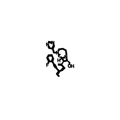 C=C(/C=C\C(C#Cc1ccccc1F)=C/C)[C@@H]1[C@H](CO)N2CCCCN(Cc3cncnc3)C[C@@H]12